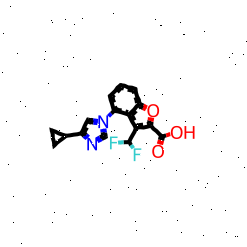 O=C(O)c1oc2cccc(-n3cnc(C4CC4)c3)c2c1C(F)F